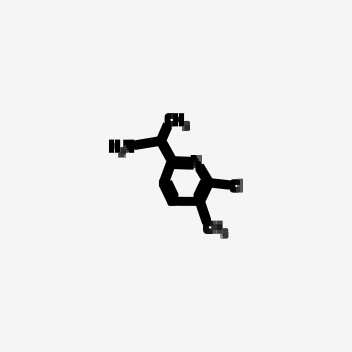 Cc1ccc(C(C)N)nc1Cl